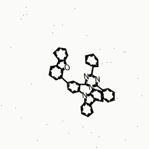 c1ccc(-c2nc(-c3ccccc3)nc(-c3cc(-c4cccc5c4oc4ccccc45)ccc3-n3c4ccccc4c4ccccc43)n2)cc1